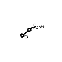 COC(=O)CCc1ccc(C#Cc2ccccc2Cl)cc1